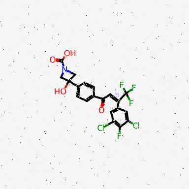 O=C(/C=C(\c1cc(Cl)c(F)c(Cl)c1)C(F)(F)F)c1ccc(C2(O)CN(C(=O)O)C2)cc1